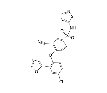 N#Cc1cc(S(=O)(=O)Nc2ncns2)ccc1Oc1ccc(Cl)cc1-c1cnco1